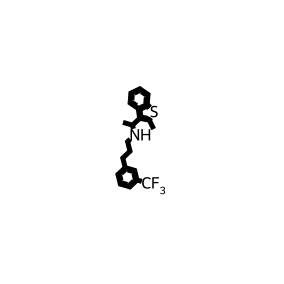 Cc1sc2ccccc2c1C(C)NCCCc1cccc(C(F)(F)F)c1